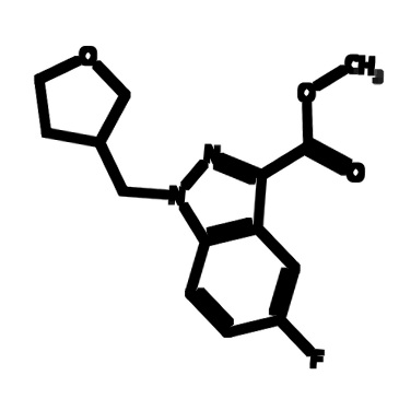 COC(=O)c1nn(CC2CCOC2)c2ccc(F)cc12